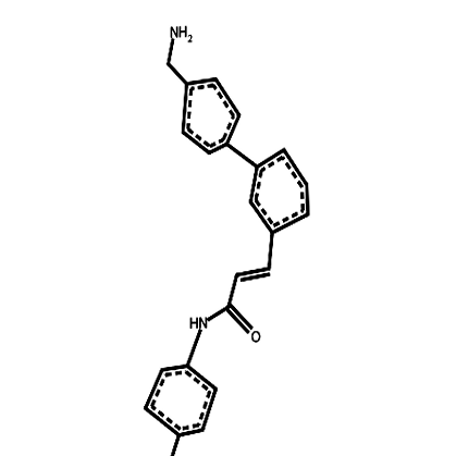 [CH2]c1ccc(NC(=O)/C=C/c2cccc(-c3ccc(CN)cc3)c2)cc1